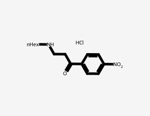 CCCCCCNCCC(=O)c1ccc([N+](=O)[O-])cc1.Cl